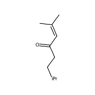 CC(C)=CC(=O)CCC(C)C